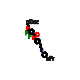 CCCCCCCCCCCCOc1ccc(C(=O)Oc2ccc(CC/C=C/[C@H]3CC[C@H](CCC)CC3)cc2)c(F)c1F